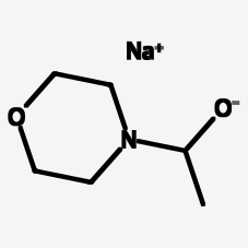 CC([O-])N1CCOCC1.[Na+]